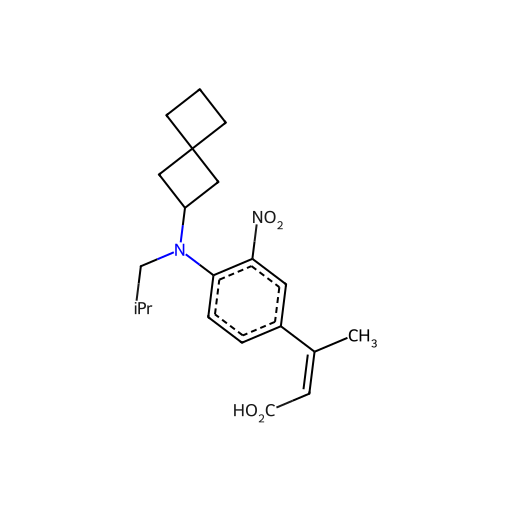 C/C(=C/C(=O)O)c1ccc(N(CC(C)C)C2CC3(CCC3)C2)c([N+](=O)[O-])c1